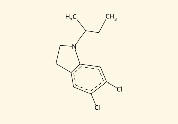 CCC(C)N1CCc2cc(Cl)c(Cl)cc21